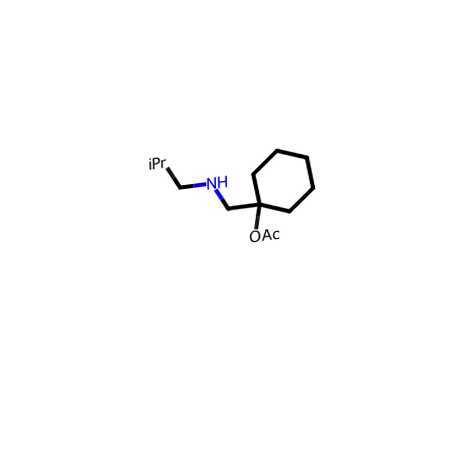 CC(=O)OC1(CNCC(C)C)CCCCC1